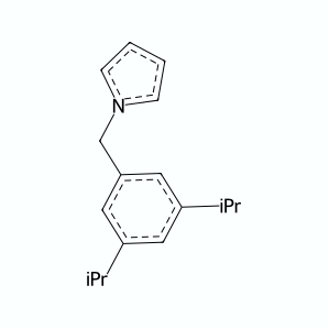 CC(C)c1cc(Cn2cccc2)cc(C(C)C)c1